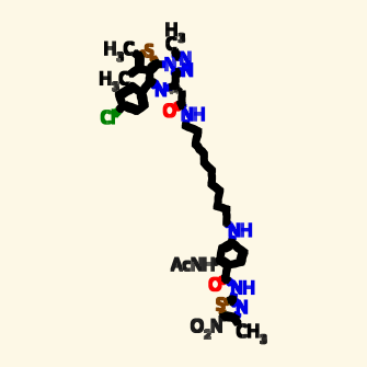 CC(=O)Nc1cc(NCCCCCCCCCCCNC(=O)C[C@@H]2N=C(c3ccc(Cl)cc3)c3c(sc(C)c3C)-n3c(C)nnc32)ccc1C(=O)Nc1nc(C)c([N+](=O)[O-])s1